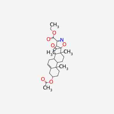 CCOC(=O)C1=NOC2(C(C)=O)C1CC1C3CC=C4CC(OC(C)=O)CCC4(C)C3CCC12C